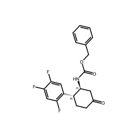 O=C1CC[C@H](c2cc(F)c(F)cc2F)[C@@H](NC(=O)OCc2ccccc2)C1